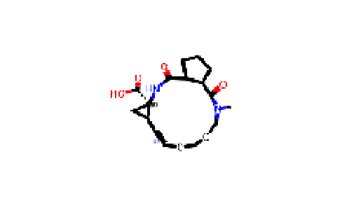 CN1CCCC/C=C\C2C[C@@]2(C(=O)O)NC(=O)C2CCCC2C1=O